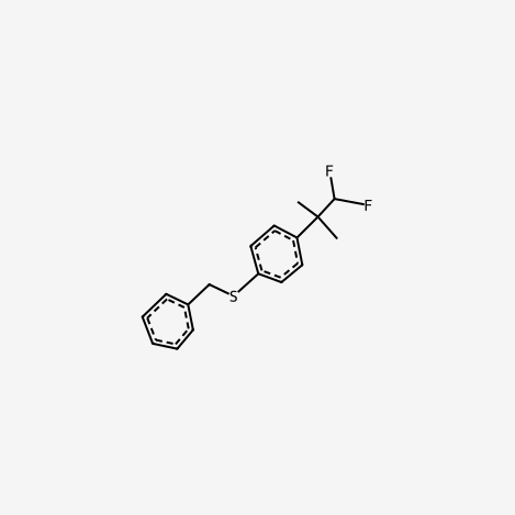 CC(C)(c1ccc(SCc2ccccc2)cc1)C(F)F